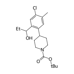 CCC(O)c1cc(Cl)c(C)cc1C1CCN(C(=O)OC(C)(C)C)CC1